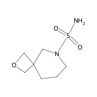 NS(=O)(=O)N1CCCC2(COC2)C1